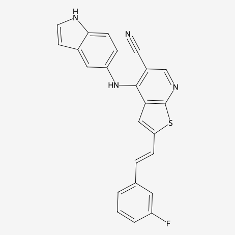 N#Cc1cnc2sc(C=Cc3cccc(F)c3)cc2c1Nc1ccc2[nH]ccc2c1